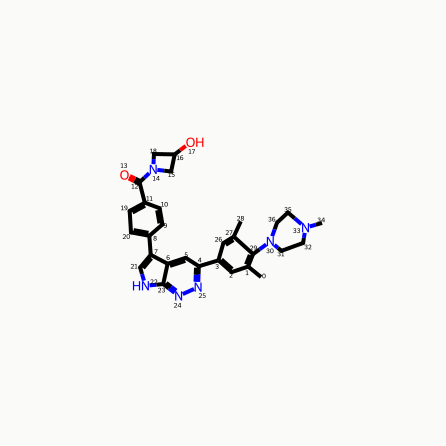 Cc1cc(-c2cc3c(-c4ccc(C(=O)N5CC(O)C5)cc4)c[nH]c3nn2)cc(C)c1N1CCN(C)CC1